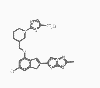 CCOC(=O)c1cnc(N2CCCC(COc3cc(CC)cc4c3C=C(c3cn5nc(C)sc5n3)C4)C2)s1